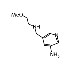 COCCNCc1cncc(N)c1